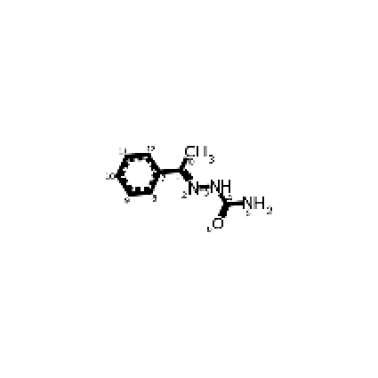 C/C(=N\NC(N)=O)c1ccccc1